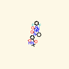 COc1ccc(N(C(=O)n2nnn(-c3c(F)cccc3F)c2=O)C2CCCCC2)cc1C(=O)NC(C)(C)C